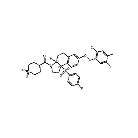 O=C(C1CCS(=O)(=O)CC1)N1CC[C@@]2(S(=O)(=O)c3ccc(F)cc3)c3ccc(OCc4cc(F)c(F)cc4Cl)cc3CC[C@@H]12